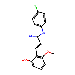 COc1cccc(OC)c1/C=C/C(=N)Nc1ccc(Cl)cc1